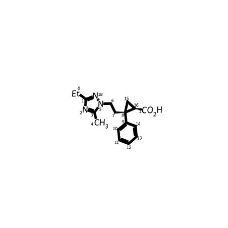 CCc1nc(C)n(CC[C@@]2(c3ccccc3)C[C@H]2C(=O)O)n1